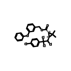 CC1(C)[C@@H](C(=O)OCc2cccc(Oc3ccccc3)c2)[C@@H]1C(Cl)C(Cl)(Cl)c1ccc(Cl)cc1